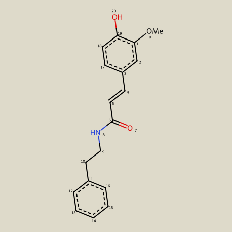 COc1cc(C=CC(=O)NCCc2ccccc2)ccc1O